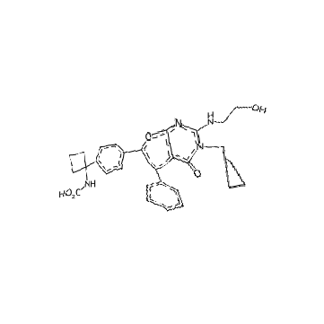 O=C(O)NC1(c2ccc(-c3oc4nc(NCCO)n(CC5CC5)c(=O)c4c3-c3ccccc3)cc2)CCC1